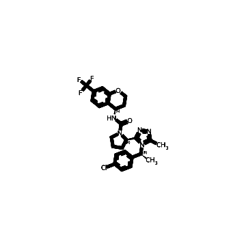 Cc1nnc([C@H]2CCCN2C(=O)N[C@H]2CCOc3cc(C(F)(F)F)ccc32)n1[C@H](C)c1ccc(Cl)cc1